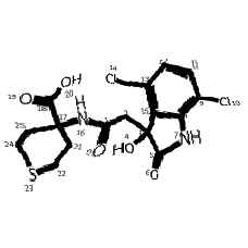 O=C(CC1(O)C(=O)Nc2c(Cl)ccc(Cl)c21)NC1(C(=O)O)CCSCC1